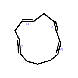 [C]1=C/C/C=C/CCC/C=C\C=C\C/1